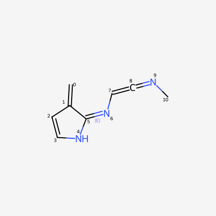 C=C1C=CN/C1=N/C=C=NC